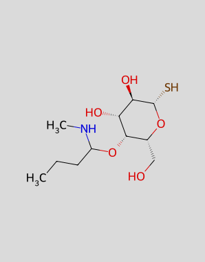 CCCC(NC)O[C@@H]1[C@H](O)[C@@H](O)[C@H](S)O[C@@H]1CO